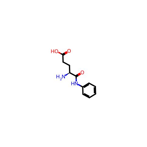 N[C@@H](CCC(=O)O)C(=O)Nc1ccccc1